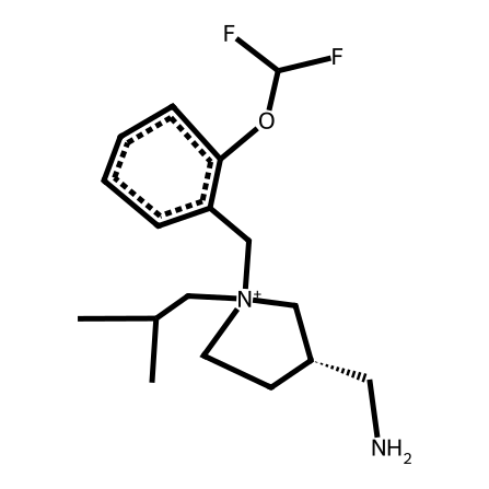 CC(C)C[N+]1(Cc2ccccc2OC(F)F)CC[C@@H](CN)C1